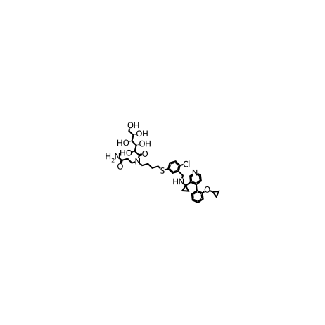 NC(=O)CCN(CCCCSc1ccc(Cl)c(CNC2(c3cnccc3-c3ccccc3OC3CC3)CC2)c1)C(=O)[C@@H](O)[C@@H](O)[C@H](O)[C@@H](O)CO